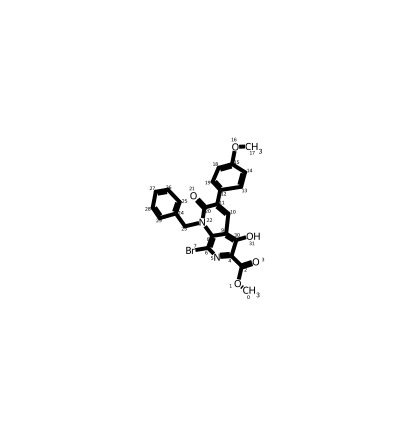 COC(=O)c1nc(Br)c2c(cc(-c3ccc(OC)cc3)c(=O)n2Cc2ccccc2)c1O